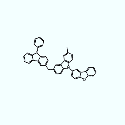 Cc1ccc2c(c1)c1cc(Cc3ccc4c(c3)c3ccccc3n4-c3ccccc3)ccc1n2-c1ccc2oc3ccccc3c2c1